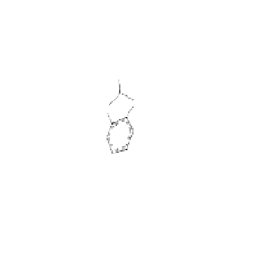 SC1Sc2ccccc2S1